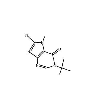 Cn1c(Cl)nc2ncn(C(C)(C)C)c(=O)c21